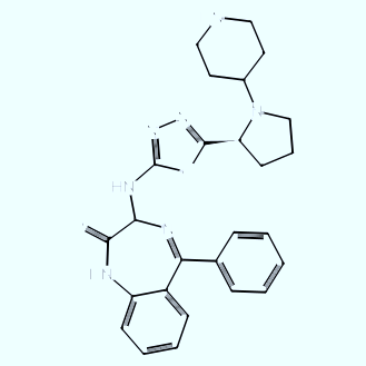 O=C1Nc2ccccc2C(c2ccccc2)=NC1Nc1nnc([C@@H]2CCCN2C2CCNCC2)o1